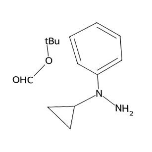 CC(C)(C)OC=O.NN(c1ccccc1)C1CC1